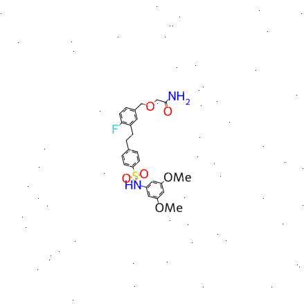 COc1cc(NS(=O)(=O)c2ccc(CCc3cc(COCC(N)=O)ccc3F)cc2)cc(OC)c1